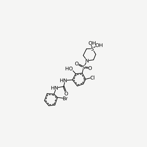 O=C(Nc1ccccc1Br)Nc1ccc(Cl)c(S(=O)(=O)N2CCS(O)(O)CC2)c1O